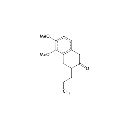 C=CCC1Cc2c(ccc(OC)c2OC)CC1=O